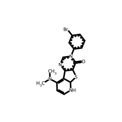 CN(C)C1=C2c3ncn(-c4cccc(Br)c4)c(=O)c3SC2NC=C1